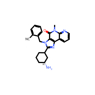 Cn1c(=O)c2c(nc(C3CCC[C@@H](N)C3)n2Cc2ccccc2C#N)c2cccnc21